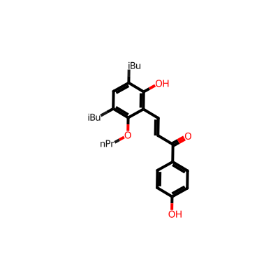 CCCOc1c(C(C)CC)cc(C(C)CC)c(O)c1C=CC(=O)c1ccc(O)cc1